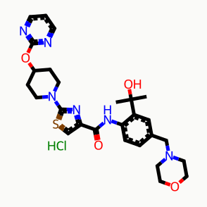 CC(C)(O)c1cc(CN2CCOCC2)ccc1NC(=O)c1csc(N2CCC(Oc3ncccn3)CC2)n1.Cl